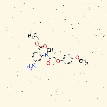 CCOC(=O)c1ccc(N)cc1N(C)C(=O)COc1ccc(OC)cc1